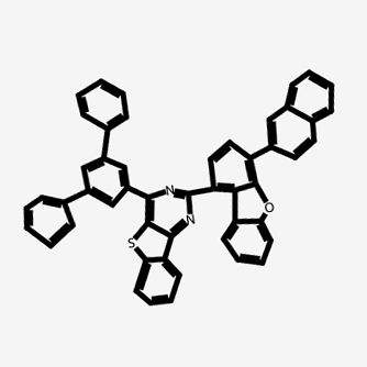 c1ccc(-c2cc(-c3ccccc3)cc(-c3nc(-c4ccc(-c5ccc6ccccc6c5)c5oc6ccccc6c45)nc4c3sc3ccccc34)c2)cc1